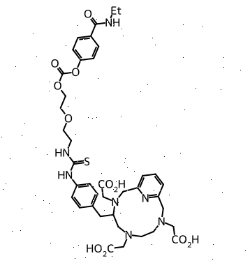 CCNC(=O)c1ccc(OC(=O)OCCOCCNC(=S)Nc2ccc(CC3CN(CC(=O)O)CCN(CC(=O)O)Cc4cccc(n4)CN3CC(=O)O)cc2)cc1